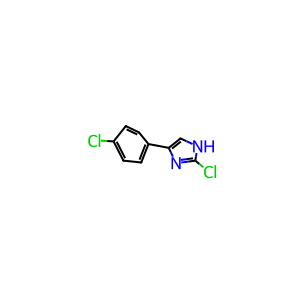 Clc1ccc(-c2c[nH]c(Cl)n2)cc1